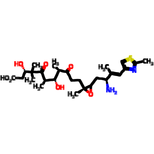 C/C(=C\c1csc(C)n1)[C@@H](N)CC1O[C@]1(C)CCC(=O)[C@H](C)[C@H](O)[C@@H](C)C(=O)C(C)(C)[C@@H](O)CC(=O)O